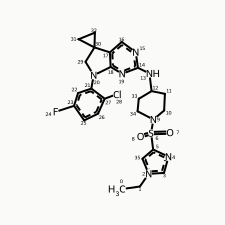 CCn1cnc(S(=O)(=O)N2CCC(Nc3ncc4c(n3)N(c3cc(F)ccc3Cl)CC43CC3)CC2)c1